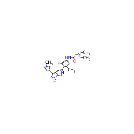 C=CN(C=C)CC(=O)Nc1cc(C)c(-c2cc3c(-c4cnn(C)c4)n[nH]c3cn2)c(F)c1